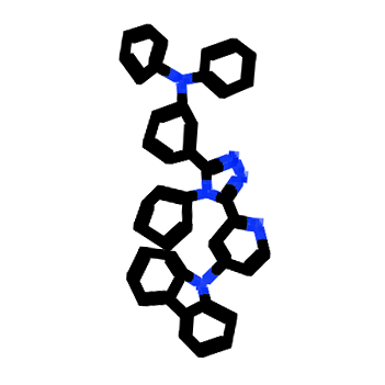 c1ccc(N(c2ccccc2)c2cccc(-c3nnc(-c4cc(-n5c6ccccc6c6ccccc65)ccn4)n3-c3ccccc3)c2)cc1